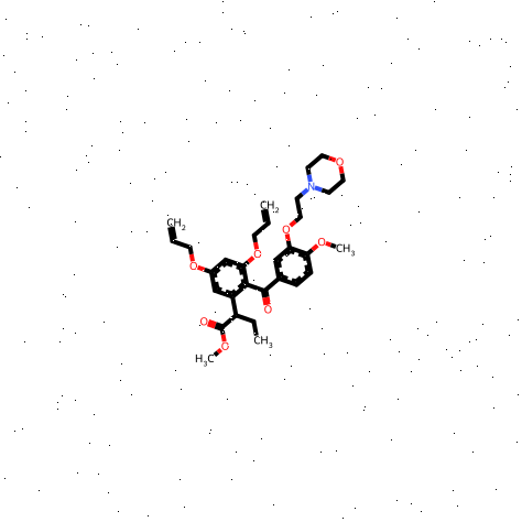 C=CCOc1cc(OCC=C)c(C(=O)c2ccc(OC)c(OCCN3CCOCC3)c2)c(C(CC)C(=O)OC)c1